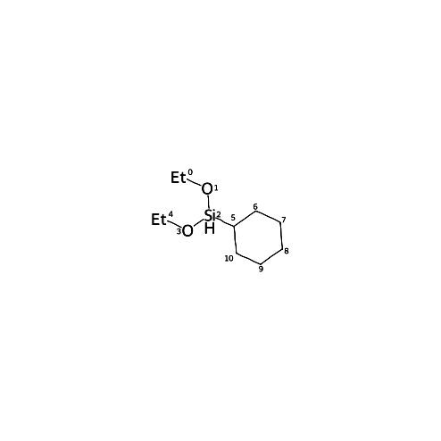 CCO[SiH](OCC)C1CCCCC1